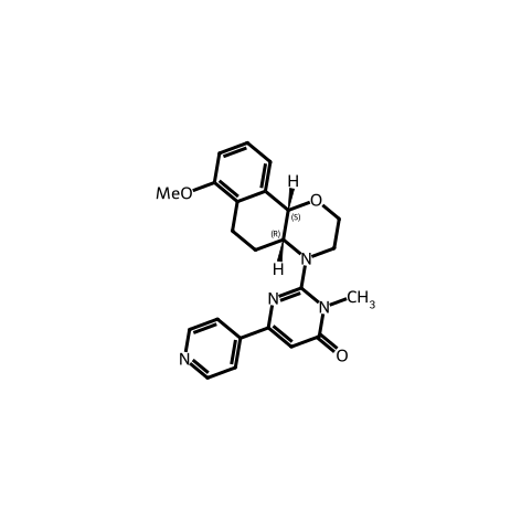 COc1cccc2c1CC[C@@H]1[C@H]2OCCN1c1nc(-c2ccncc2)cc(=O)n1C